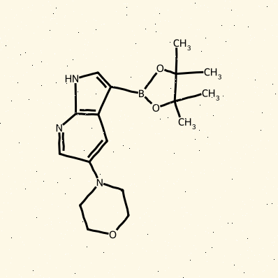 CC1(C)OB(c2c[nH]c3ncc(N4CCOCC4)cc23)OC1(C)C